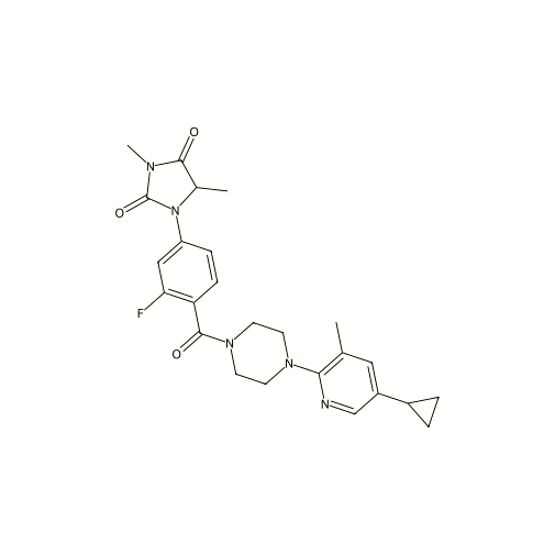 Cc1cc(C2CC2)cnc1N1CCN(C(=O)c2ccc(N3C(=O)N(C)C(=O)C3C)cc2F)CC1